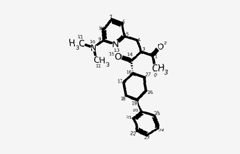 CC(=O)C(Cc1cccc(N(C)C)n1)C(=O)[C@H]1CC[C@H](c2ccccc2)CC1